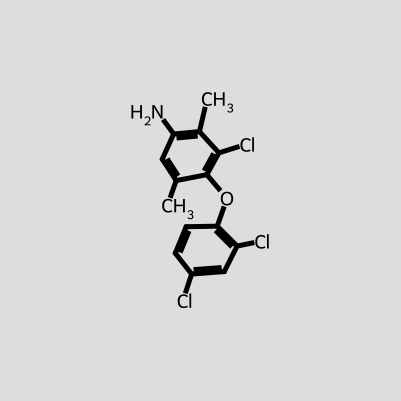 Cc1cc(N)c(C)c(Cl)c1Oc1ccc(Cl)cc1Cl